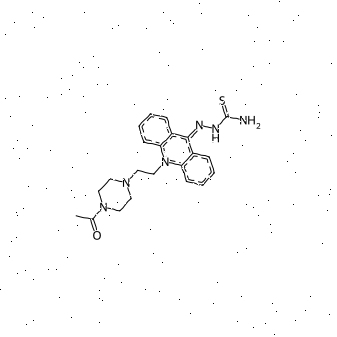 CC(=O)N1CCN(CCn2c3ccccc3c(=NNC(N)=S)c3ccccc32)CC1